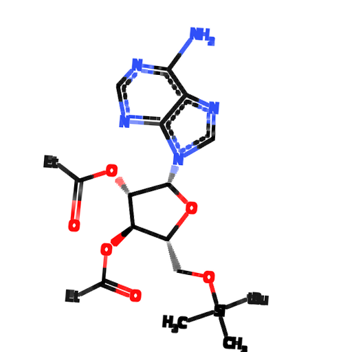 CCC(=O)O[C@H]1[C@H](OC(=O)CC)[C@@H](CO[Si](C)(C)C(C)(C)C)O[C@H]1n1cnc2c(N)ncnc21